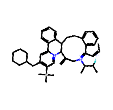 C=C1C/[N+](C(C)C(C)F)=C(/C=C\C)c2ccccc2CCC2c3ccccc3-c3cc(CC4CCCCC4)c([Si](C)(C)C)c[n+]3C12